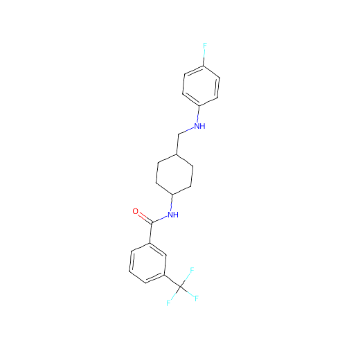 O=C(NC1CCC(CNc2ccc(F)cc2)CC1)c1cccc(C(F)(F)F)c1